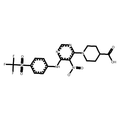 O=C(O)C1CCN(c2ncnc(Nc3ccc(S(=O)(=O)C(F)(F)F)cc3)c2[N+](=O)[O-])CC1